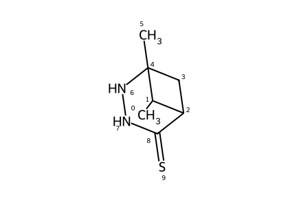 CC1C2CC1(C)NNC2=S